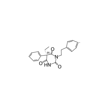 CC[C@@]1(c2ccccc2)C(=O)NC(=O)N(CCc2cc[c]cc2)C1=O